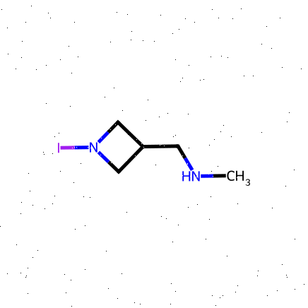 CNCC1CN(I)C1